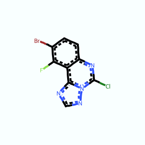 Fc1c(Br)ccc2nc(Cl)n3ncnc3c12